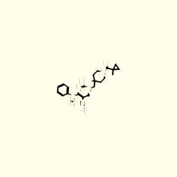 CC1(C(=O)N2CCC(O)(Cn3cnc(N(N)c4ccccc4)c(N)c3=O)CC2)CC1